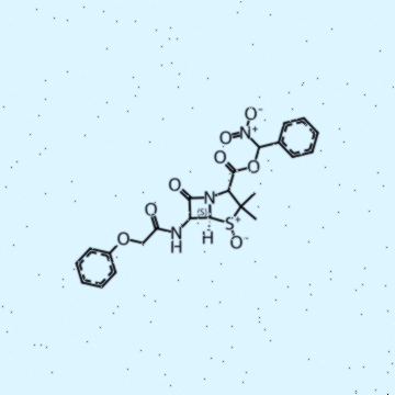 CC1(C)C(C(=O)OC(c2ccccc2)[N+](=O)[O-])N2C(=O)C(NC(=O)COc3ccccc3)[C@@H]2[S+]1[O-]